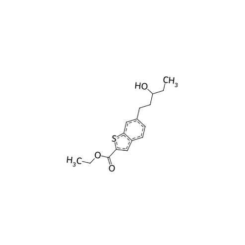 CCOC(=O)c1cc2ccc(CCC(O)CC)cc2s1